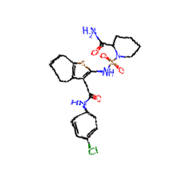 NC(=O)C1CCCCN1S(=O)(=O)Nc1sc2c(c1C(=O)Nc1ccc(Cl)cc1)CCC2